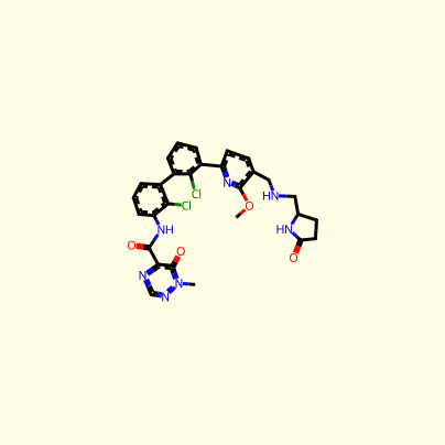 COc1nc(-c2cccc(-c3cccc(NC(=O)c4ncnn(C)c4=O)c3Cl)c2Cl)ccc1CNCC1CCC(=O)N1